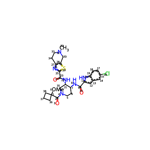 COC1(C(=O)N2CC[C@H](NC(=O)c3cc4cc(Cl)ccc4[nH]3)[C@H](NC(=O)c3nc4c(s3)CN(C)CC4)C2)CCC1